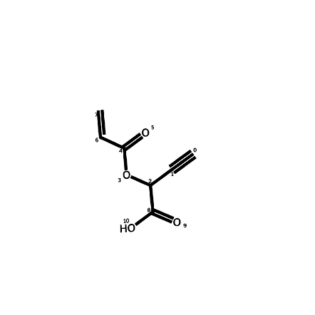 C#CC(OC(=O)C=C)C(=O)O